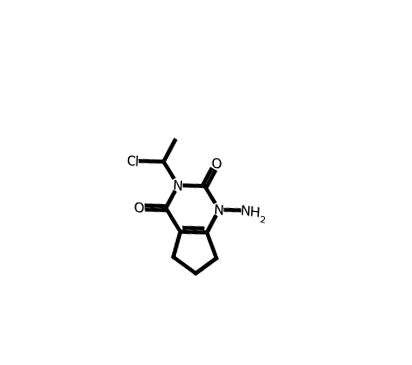 CC(Cl)n1c(=O)c2c(n(N)c1=O)CCC2